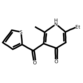 CCc1cc(=O)c(C(=O)c2cccs2)c(C)[nH]1